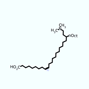 CCCCCCCCC(CCCCCCCCCC/C=C\CCCCCCCC(=O)O)CCN(C)C